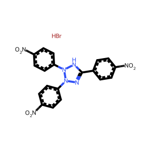 Br.O=[N+]([O-])c1ccc(C2=NN(c3ccc([N+](=O)[O-])cc3)N(c3ccc([N+](=O)[O-])cc3)N2)cc1